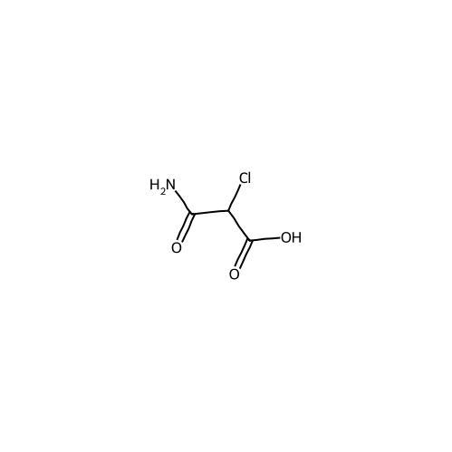 NC(=O)C(Cl)C(=O)O